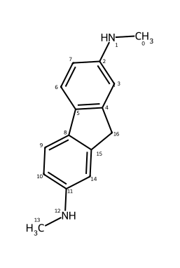 CNc1[c]c2c(cc1)-c1ccc(NC)cc1C2